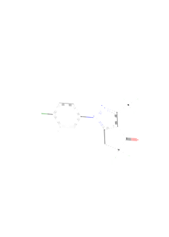 O=C1c2c(C(F)(F)F)nn(-c3ccc(F)c(F)c3)c2CC1(F)F